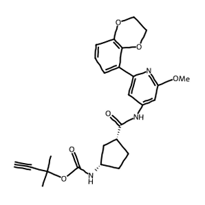 C#CC(C)(C)OC(=O)N[C@H]1CC[C@@H](C(=O)Nc2cc(OC)nc(-c3cccc4c3OCCO4)c2)C1